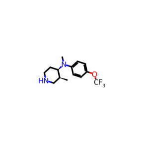 C[C@H]1CNCC[C@H]1N(C)c1ccc(OC(F)(F)F)cc1